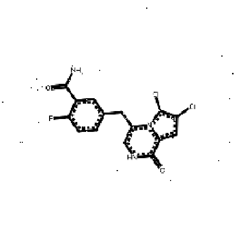 NC(=O)c1cc(Cc2c[nH]c(=O)c3cc(Cl)c(Cl)n23)ccc1F